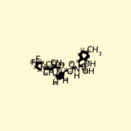 Cc1ccc(C[C@H](NC(=O)OC[C@@]23C4[C@@H](CN2C(=O)C(C#N)CC(C)(C)N2CCC(F)(F)C2)[C@H]43)B(O)O)cc1